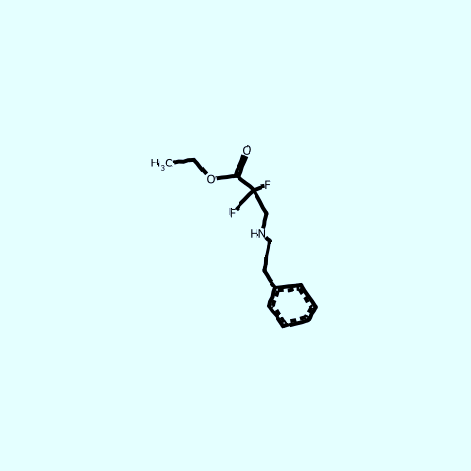 CCOC(=O)C(F)(F)CNCCc1ccccc1